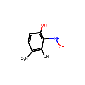 N#Cc1c([N+](=O)[O-])ccc(O)c1NO